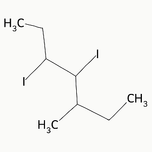 CCC(C)C(I)C(I)CC